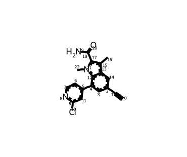 C#Cc1cc(-c2ccnc(Cl)c2)c2c(c1)c(C)c(C(N)=O)n2C